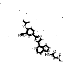 CC(C)Oc1ccc(-c2ncc(-c3cccc4c3CC[C@@H]4NC(=O)CN(C)C)s2)cc1C#N